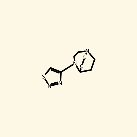 c1snnc1N1CCN2CCC1CC2